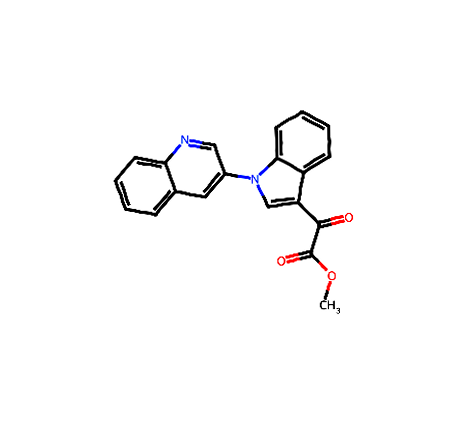 COC(=O)C(=O)c1cn(-c2cnc3ccccc3c2)c2ccccc12